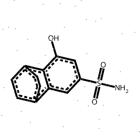 NS(=O)(=O)c1cc(O)c2c3ccc(cc3)c2c1